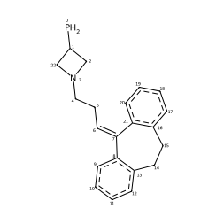 PC1CN(CCC=C2c3ccccc3CCc3ccccc32)C1